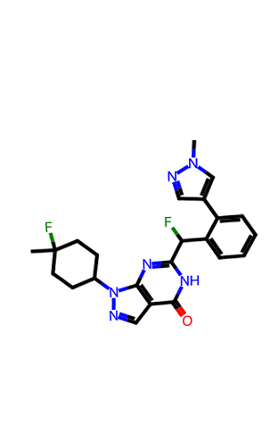 Cn1cc(-c2ccccc2C(F)c2nc3c(cnn3C3CCC(C)(F)CC3)c(=O)[nH]2)cn1